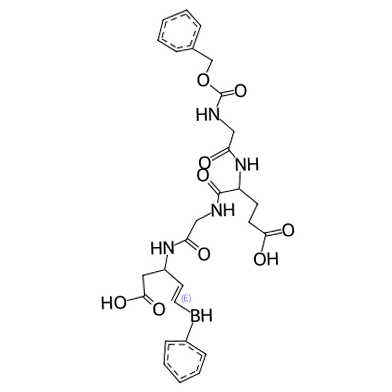 O=C(O)CCC(NC(=O)CNC(=O)OCc1ccccc1)C(=O)NCC(=O)NC(/C=C/Bc1ccccc1)CC(=O)O